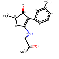 COC(=O)CNC1=C(c2cccc(C(F)(F)F)c2)C(=O)C(C)C1